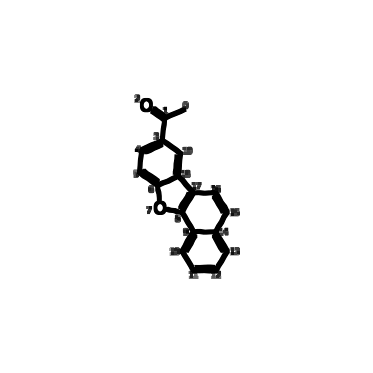 CC(=O)c1ccc2oc3c4ccccc4ccc3c2c1